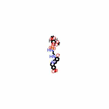 COc1ccc2cc3[n+](cc2c1NCCCNS(=O)(=O)OC[C@@]12OC[C@H]4OC(C)(C)O[C@H]4C1OC(C)(C)O2)CCc1cc2c(cc1-3)OCO2